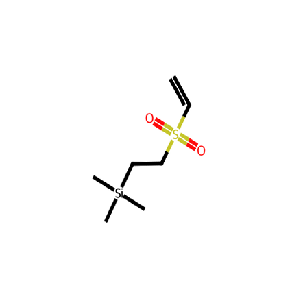 C=CS(=O)(=O)CC[Si](C)(C)C